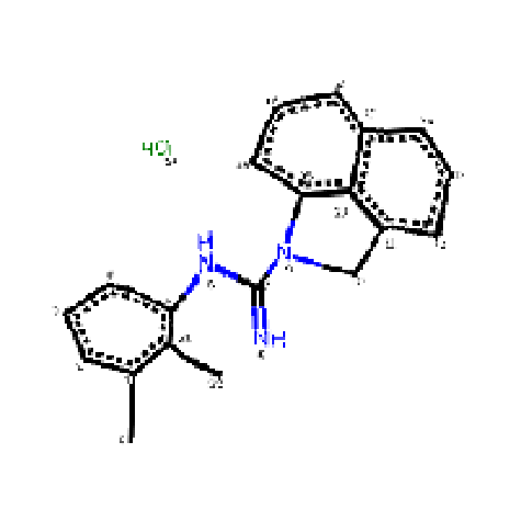 Cc1cccc(NC(=N)N2Cc3cccc4cccc2c34)c1C.Cl